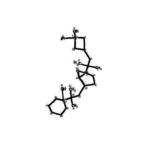 CC(C)[N+]1(O)CC(CC(C)(C)[N+]23CCC(CC(C)(C)[N+]4(O)CCCCC4)C2O3)C1